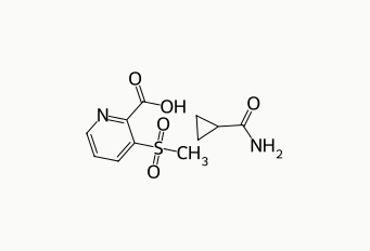 CS(=O)(=O)c1cccnc1C(=O)O.NC(=O)C1CC1